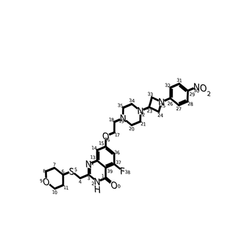 O=c1[nH]c(CSC2CCOCC2)nc2cc(OCCN3CCN(C4CN(c5ccc([N+](=O)[O-])cc5)C4)CC3)cc(F)c12